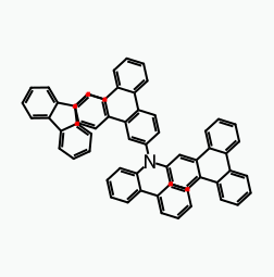 c1ccc(-c2cc(N(c3ccc4c5ccccc5c5ccccc5c4c3)c3ccccc3-c3ccccc3)ccc2-c2ccccc2CCC2c3ccccc3-c3ccccc32)cc1